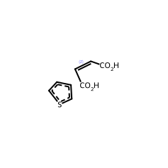 O=C(O)/C=C\C(=O)O.c1ccsc1